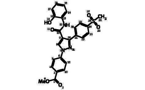 COC(=O)c1ccc(-n2cc(C(=O)Nc3ccccc3O)c(-c3ccc(S(C)(=O)=O)cc3)n2)cc1